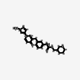 Cn1cc(-n2ccc(=O)c(Cc3cccc(NC(=O)OCC4CCCOC4)c3)n2)cn1